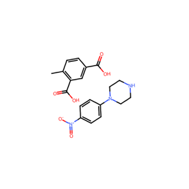 Cc1ccc(C(=O)O)cc1C(=O)O.O=[N+]([O-])c1ccc(N2CCNCC2)cc1